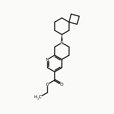 CCOC(=O)c1cnc2c(c1)CCN([C@H]1CCCC3(CCC3)C1)C2